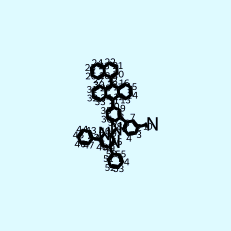 N#Cc1ccc2c(c1)c1cc(-c3c4ccccc4c(-c4cccc5ccccc45)c4ccccc34)ccc1n2-c1nc(-c2ccccc2)cc(-c2ccccc2)n1